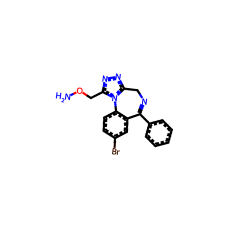 NOCc1nnc2n1-c1ccc(Br)cc1C(c1ccccc1)=NC2